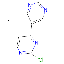 Clc1nccc(-c2cncnc2)n1